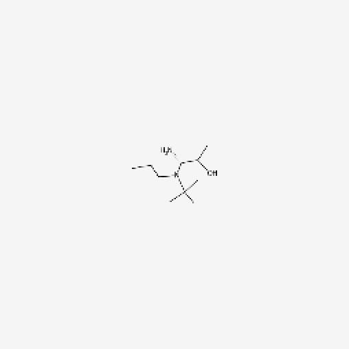 CCCN([C@H](N)C(C)O)C(C)(C)C